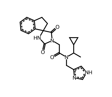 CC(C1CC1)N(Cc1c[nH]cn1)C(=O)CN1C(=O)NC2(CCc3ccccc32)C1=O